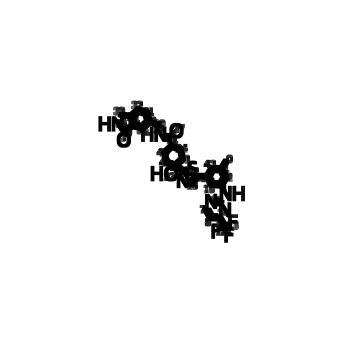 Cc1cc(Nc2nccc(C(F)(F)F)n2)cc(-c2cnc([C@]3(O)CC[C@H](C(=O)NCc4ccc5c(c4)C(=O)NC5)CC3)s2)c1